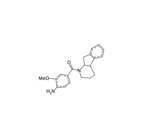 COc1cc(C(=O)N2CCCC3c4ccccc4CC32)ccc1N